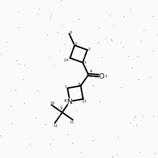 CC1CC(C(=O)C2CN(C(C)(C)C)C2)C1